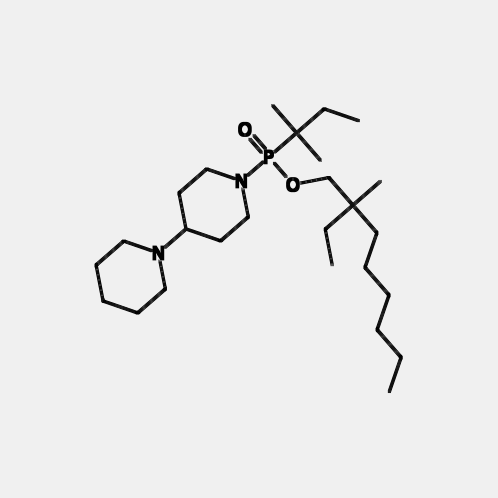 CCCCCCC(C)(CC)COP(=O)(N1CCC(N2CCCCC2)CC1)C(C)(C)CC